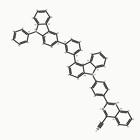 N#Cc1nc(-c2ccc(-n3c4ccccc4c4c(-c5cccc(-c6ccc7c(c6)c6ccccc6n7-c6ccccc6)c5)cccc43)cc2)nc2ccccc12